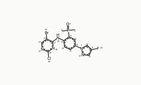 CP(C)(=O)c1cc(-n2cc(F)cn2)ccc1Nc1nc(Cl)ncc1Br